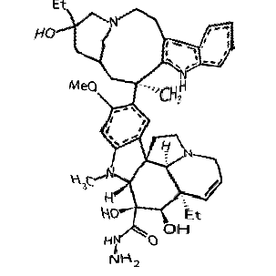 CCC1(O)CC2CN(CCc3c([nH]c4ccccc34)[C@@](C)(c3cc4c(cc3OC)N(C)[C@H]3[C@@](O)(C(=O)NN)[C@H](O)[C@]5(CC)C=CCN6CC[C@]43[C@@H]65)C2)C1